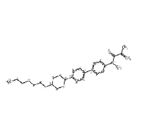 C=C(C)C(=O)N(C)c1ccc(-c2ccc(C3CCC(CCCCCCC)CC3)cc2)cc1